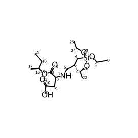 CCO[Si](CCCNC(CC(=O)O)C(=O)OC(C)CC)(OCC)OCC